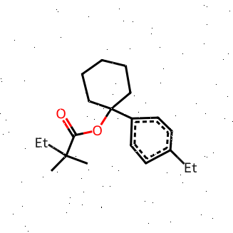 CCc1ccc(C2(OC(=O)C(C)(C)CC)CCCCC2)cc1